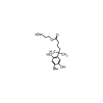 CCCCCCCCCCCCOC(=O)CCCC(C)(C)c1cc(O)c(C(C)(C)C)cc1O